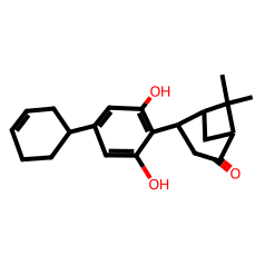 CC1(C)C2CC1C(c1c(O)cc(C3CC=CCC3)cc1O)CC2=O